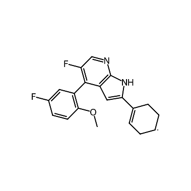 COc1ccc(F)cc1-c1c(F)cnc2[nH]c(C3=CC[CH]CC3)cc12